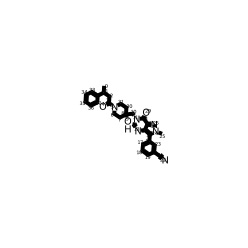 CC(CC(=O)N1CCC(O)(Cn2cnc3c(-c4cccc(C#N)c4)n(C)nc3c2=O)CC1)c1ccccc1